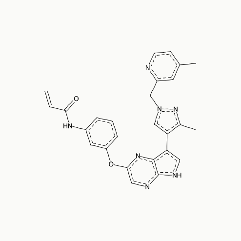 C=CC(=O)Nc1cccc(Oc2cnc3[nH]cc(-c4cn(Cc5cc(C)ccn5)nc4C)c3n2)c1